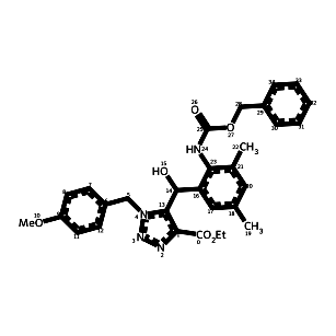 CCOC(=O)c1nnn(Cc2ccc(OC)cc2)c1C(O)c1cc(C)cc(C)c1NC(=O)OCc1ccccc1